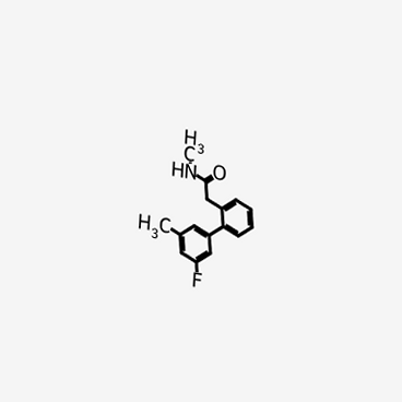 CNC(=O)Cc1ccccc1-c1cc(C)cc(F)c1